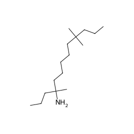 CCCC(C)(C)CCCCCC(C)(N)CCC